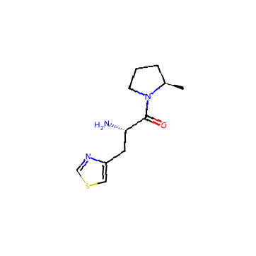 C[C@@H]1CCCN1C(=O)[C@@H](N)Cc1cscn1